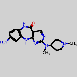 CN1CCC(N(C)c2ncc3c(n2)Nc2cc(N)ccc2NC3=O)CC1